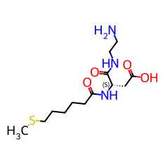 CSCCCCCC(=O)N[C@@H](CC(=O)O)C(=O)NCCN